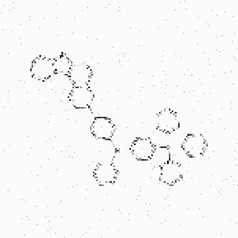 c1ccc(N(c2ccc(-c3ccc4c(ccc5oc6ccccc6c54)c3)cc2)c2ccc([Si](c3ccccc3)(c3ccccc3)c3ccccc3)cc2)cc1